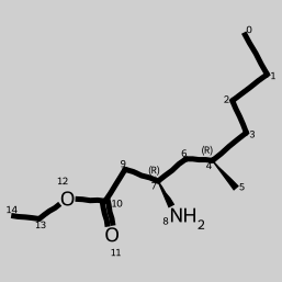 CCCC[C@@H](C)C[C@@H](N)CC(=O)OCC